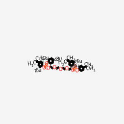 C=C(C)c1ccc(OP(OCCOCCOCCOCCOP(Oc2ccc(C(=C)C)cc2C(C)(C)C)Oc2ccc(C(C)(C)C)cc2C(C)(C)C)Oc2ccc(C(=C)C)cc2C(C)(C)C)c(C(C)(C)C)c1